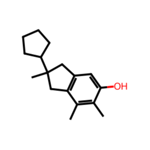 Cc1c(O)cc2c(c1C)CC(C)(C1CCCC1)C2